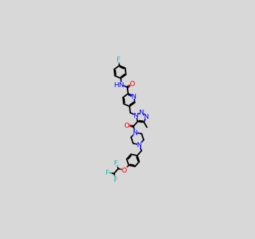 Cc1nnn(Cc2ccc(C(=O)Nc3ccc(F)cc3)nc2)c1C(=O)N1CCN(Cc2ccc(OC(F)C(F)F)cc2)CC1